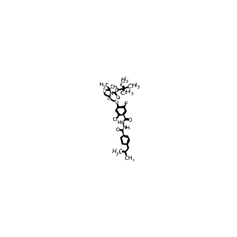 CC(C)Cc1ccc(C(=O)NNC(=O)c2cc(F)c(OC[C@H]3COC(C)(C)N3C(=O)OC(C)(C)C)cc2Cl)cc1